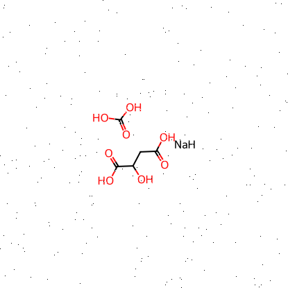 O=C(O)CC(O)C(=O)O.O=C(O)O.[NaH]